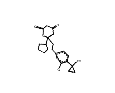 N#CC1(c2ccc(CCC3(C4CCCC4)CC(=O)CC(=O)O3)cc2Cl)CC1